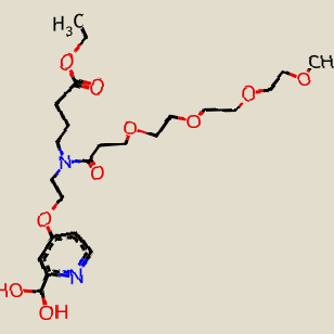 CCOC(=O)CCCN(CCOc1ccnc(C(O)O)c1)C(=O)CCOCCOCCOCCOC